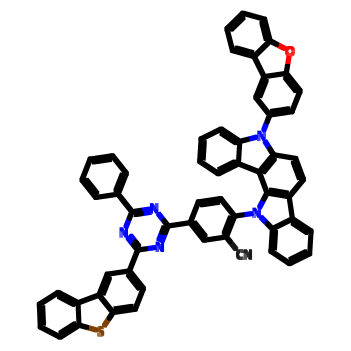 N#Cc1cc(-c2nc(-c3ccccc3)nc(-c3ccc4sc5ccccc5c4c3)n2)ccc1-n1c2ccccc2c2ccc3c(c4ccccc4n3-c3ccc4oc5ccccc5c4c3)c21